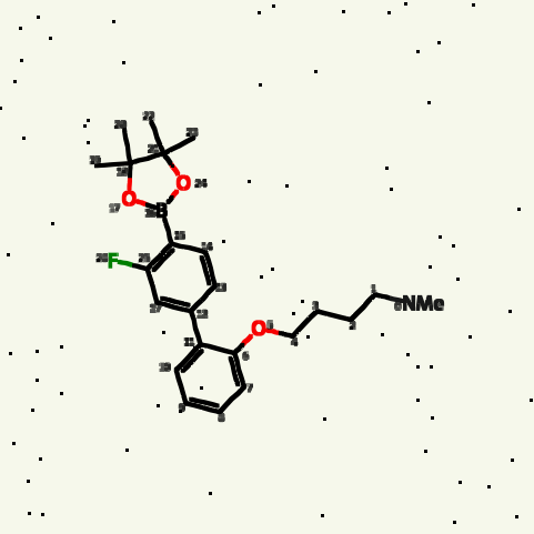 CNCCCCOc1ccccc1-c1ccc(B2OC(C)(C)C(C)(C)O2)c(F)c1